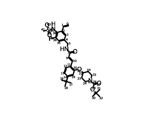 C=Cc1cc(CNC(=O)C=Cc2ccc(C(C)(C)C)cc2OC2CCN(C(=O)OC(C)(C)C)CC2)cc(F)c1NS(C)(=O)=O